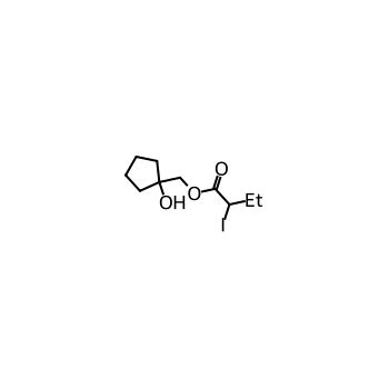 CCC(I)C(=O)OCC1(O)CCCC1